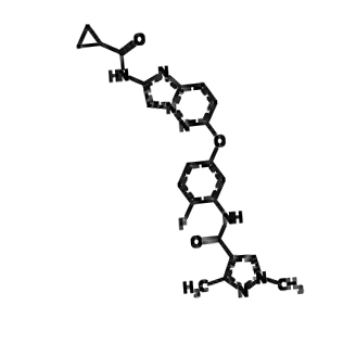 Cc1nn(C)cc1C(=O)Nc1cc(Oc2ccc3nc(NC(=O)C4CC4)cn3n2)ccc1F